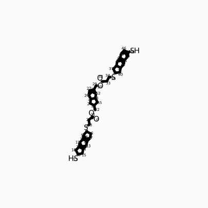 O=C(CCSC1CC2CC1C1C3CC(C4CC(S)CC43)C21)OCC1CC2C3CC(COC(=O)CCSC4CC5C(C4)C4CC5C5C6CC(S)C(C6)C45)C(C3)C2C1